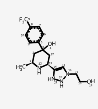 C[C@H]1CC(O)(c2ccc(C(F)(F)F)cc2)C[C@@H](C2=CN(CCO)NN2)N1